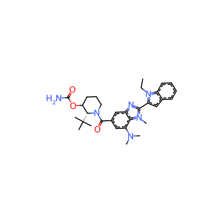 CCn1c(-c2nc3cc(C(=O)N4CCCC(OC(N)=O)[C@H]4C(C)(C)C)cc(N(C)C)c3n2C)cc2ccccc21